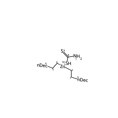 CCCCCCCCCCC[CH2][Zn][CH2]CCCCCCCCCCC.NC(=S)S